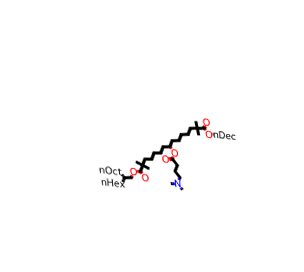 CCCCCCCCCCOC(=O)C(C)(C)CCCCCC(CCCCCC(C)(C)C(=O)OCC(CCCCCC)CCCCCCCC)OC(=O)CCCN(C)C